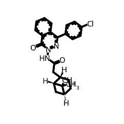 CC1(C)[C@H]2CC[C@@H](CC(=O)Nn3nc(-c4ccc(Cl)cc4)c4ccccc4c3=O)[C@H]1C2